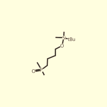 CC(C)(C)[Si](C)(C)OCCCCP(C)(C)=O